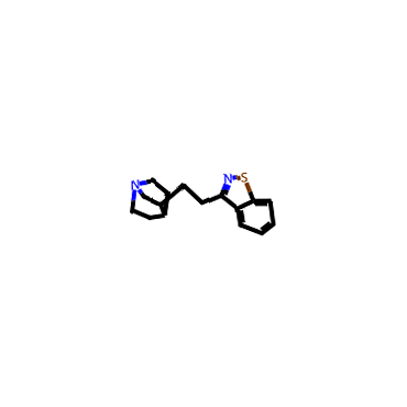 c1ccc2c(CCC3CN4CCC3CC4)nsc2c1